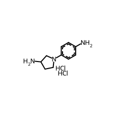 Cl.Cl.Nc1ccc(N2CCC(N)C2)cc1